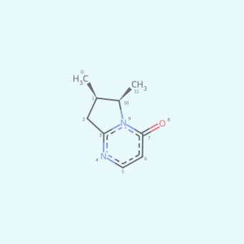 C[C@@H]1Cc2nccc(=O)n2[C@@H]1C